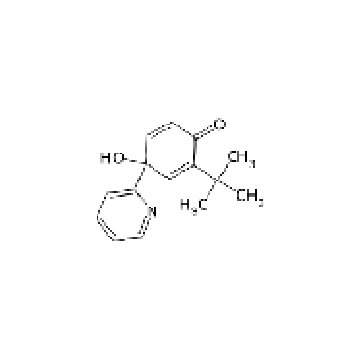 CC(C)(C)C1=CC(O)(c2ccccn2)C=CC1=O